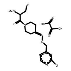 CNC(CC(C)C)C(=O)N1CCC(=NOCc2ccnc(Cl)c2)CC1.O=C(O)C(=O)O